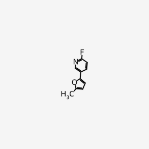 Cc1ccc(-c2ccc(F)nc2)o1